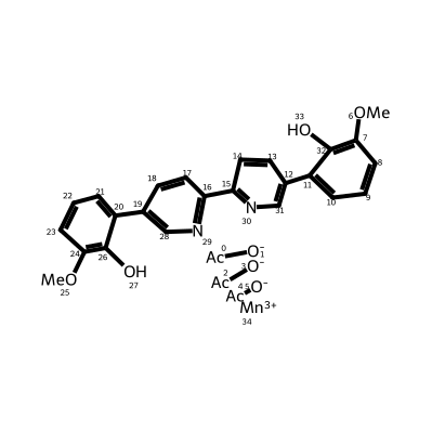 CC(=O)[O-].CC(=O)[O-].CC(=O)[O-].COc1cccc(-c2ccc(-c3ccc(-c4cccc(OC)c4O)cn3)nc2)c1O.[Mn+3]